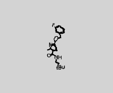 Cc1nc(OCc2cccc(F)c2)ccc1C(=O)NCCC(C)(C)C